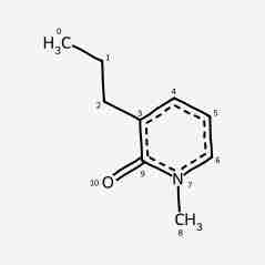 CCCc1cccn(C)c1=O